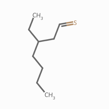 CCCCC(CC)CC=S